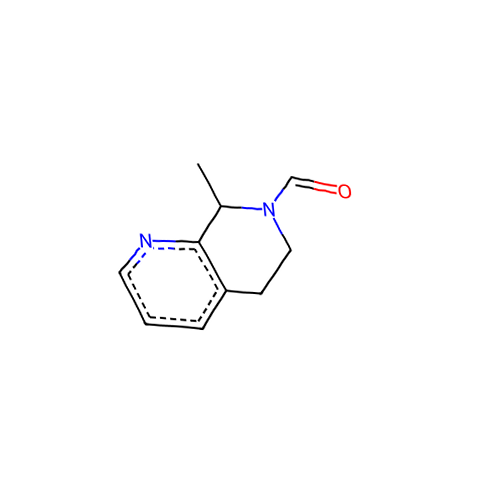 CC1c2ncccc2CCN1C=O